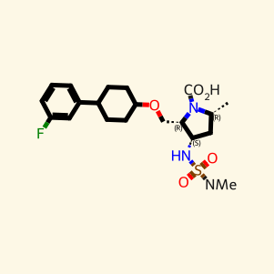 CNS(=O)(=O)N[C@H]1C[C@@H](C)N(C(=O)O)[C@H]1COC1CCC(c2cccc(F)c2)CC1